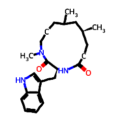 CC1CCCN(C)C(=O)[C@H](Cc2c[nH]c3ccccc23)NC(=O)CC[C@H](C)C1